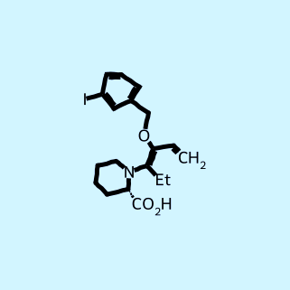 C=C/C(OCc1cccc(I)c1)=C(\CC)N1CCCC[C@H]1C(=O)O